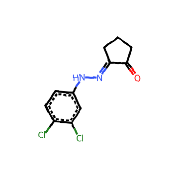 O=C1CCC/C1=N\Nc1ccc(Cl)c(Cl)c1